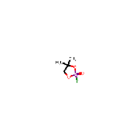 CC1(C)COP(=O)(F)O1